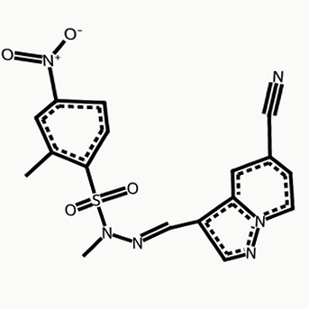 Cc1cc([N+](=O)[O-])ccc1S(=O)(=O)N(C)N=Cc1cnn2ccc(C#N)cc12